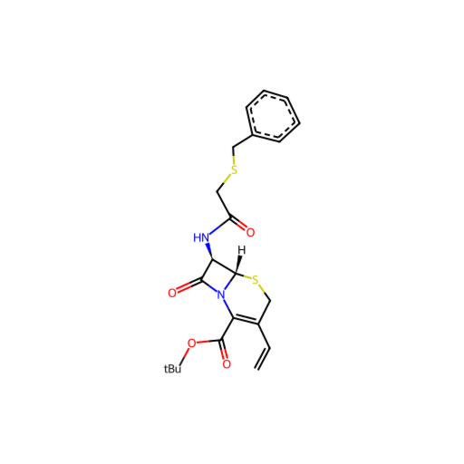 C=CC1=C(C(=O)OC(C)(C)C)N2C(=O)[C@@H](NC(=O)CSCc3ccccc3)[C@@H]2SC1